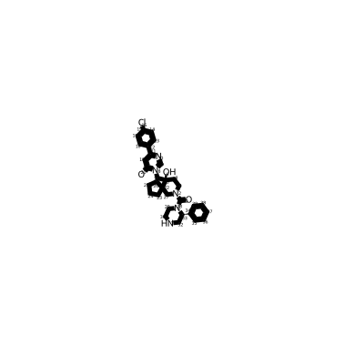 O=C(N1CC[C@@](O)(Cn2cnc(-c3ccc(Cl)cc3)cc2=O)C2(CCCC2)C1)N1CCNC[C@H]1c1ccccc1